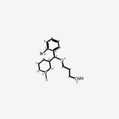 COCCCOC(c1ccccc1Br)C1CCCN(C)C1